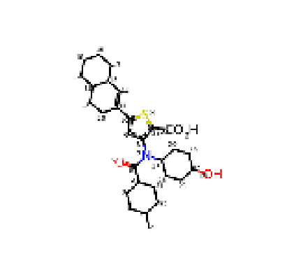 CC1CCC(C(=O)N(c2cc(C3=CC4CCCCC4CC3)sc2C(=O)O)C2CCC(O)CC2)CC1